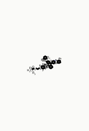 CCC(C)(C)C(=O)OCCCSc1c(F)c(F)c(S(=O)(=O)NS(=O)(=O)c2ccccc2-c2c3cc/c(=N\c4c(C(C)C)cccc4C(C)C)cc-3oc3cc(Nc4c(C)cccc4C(C)C)ccc23)c(F)c1F